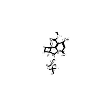 COC(=O)c1c(O)cc(=O)n2c1[C@@H]1CC[C@@H]1[C@H]2CO[Si](C)(C)C(C)(C)C